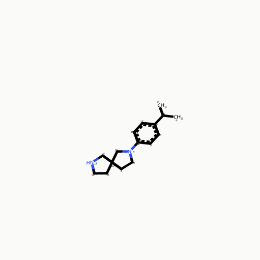 CC(C)c1ccc(N2CCC3(CCNC3)C2)cc1